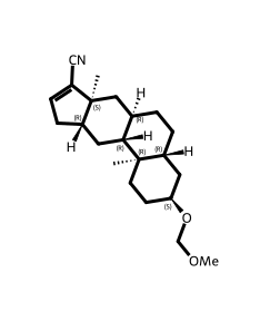 COCO[C@H]1CC[C@]2(C)[C@H](CC[C@@H]3C[C@]4(C)C(C#N)=CC[C@H]4C[C@H]32)C1